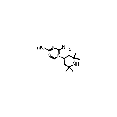 CCCCC1=NC(N)N(C2CC(C)(C)NC(C)(C)C2)C=N1